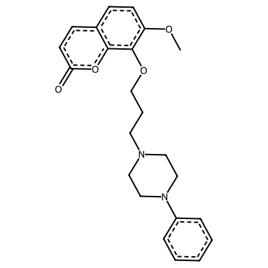 COc1ccc2ccc(=O)oc2c1OCCCN1CCN(c2ccccc2)CC1